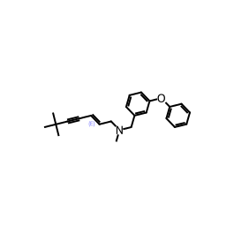 CN(C/C=C/C#CC(C)(C)C)Cc1cccc(Oc2ccccc2)c1